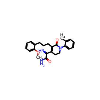 COc1ccccc1CCCC1=C(C(=N)C(N)=O)CCN(c2ccccc2C)C1=O